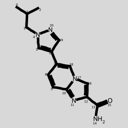 CC(C)Cn1cc(-c2ccc3nc(C(N)=O)cn3c2)cn1